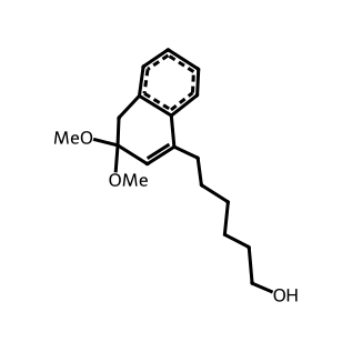 COC1(OC)C=C(CCCCCCO)c2ccccc2C1